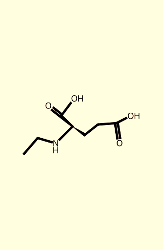 CCN[C@H](CCC(=O)O)C(=O)O